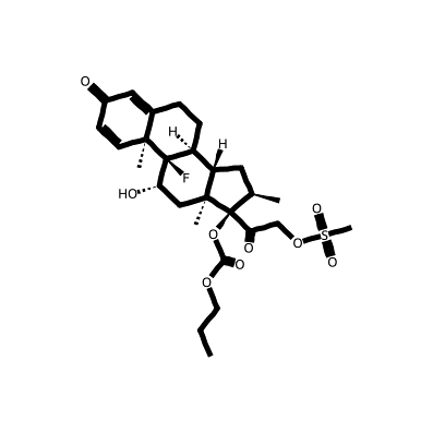 CCCOC(=O)O[C@]1(C(=O)COS(C)(=O)=O)[C@H](C)C[C@H]2[C@@H]3CCC4=CC(=O)C=C[C@]4(C)[C@@]3(F)[C@@H](O)C[C@@]21C